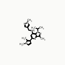 Cc1nn(C(C)C)c2c(NCc3cnn(C)c3)cc(-c3ccn(C)c3C)nc12